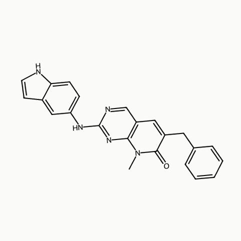 Cn1c(=O)c(Cc2ccccc2)cc2cnc(Nc3ccc4[nH]ccc4c3)nc21